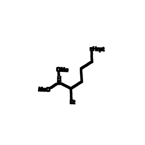 CCCCCCCCCCC(CC)[SiH](OC)OC